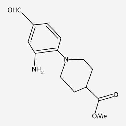 COC(=O)C1CCN(c2ccc(C=O)cc2N)CC1